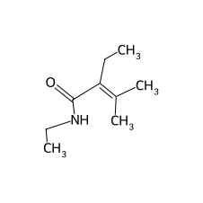 CCNC(=O)C(CC)=C(C)C